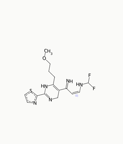 COCCCC1=C(C(=N)/C=C\NC(F)F)CN=C(c2nccs2)N1